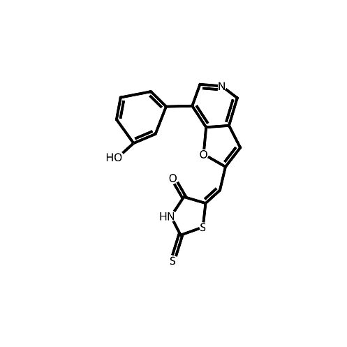 O=C1NC(=S)SC1=Cc1cc2cncc(-c3cccc(O)c3)c2o1